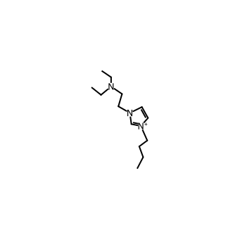 CCCC[n+]1ccn(CCN(CC)CC)c1